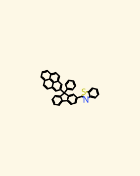 c1ccc(C2(c3cc4ccc5cccc6ccc(c3)c4c56)c3ccccc3-c3ccc(-c4nc5ccccc5s4)cc32)cc1